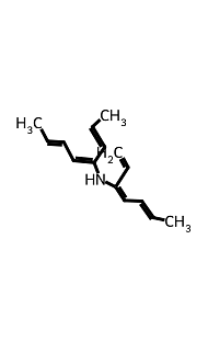 C=C/C(=C\C=C\C)NC(/C=C/C)=C/C=C/C